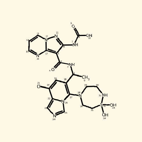 CC(NC(=O)c1c(NC(=O)O)nn2cccnc12)c1cc(Cl)c2cncn2c1N1CCNS(O)(O)CC1